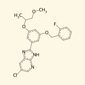 COCC(C)Oc1cc(OCc2ccccc2F)cc(-c2nc3cc(Cl)cnc3[nH]2)c1